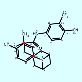 CC(O)(CN1CC2CC(C1)N2c1ccc(C#N)cc1)C(=O)Nc1ccc(C#N)c(C(F)(F)F)c1